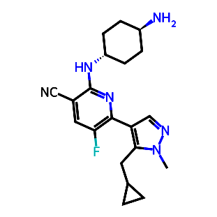 Cn1ncc(-c2nc(N[C@H]3CC[C@H](N)CC3)c(C#N)cc2F)c1CC1CC1